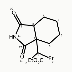 CCOC(=O)C(CC)C12CCCCC1C(=O)NC2=O